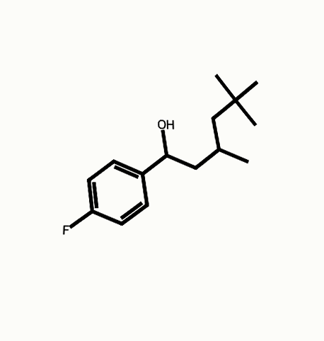 CC(CC(O)c1ccc(F)cc1)CC(C)(C)C